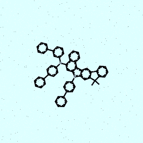 CC1(C)c2ccccc2-c2cc3c4c5ccccc5c(N(c5ccc(-c6ccccc6)cc5)c5cccc(-c6ccccc6)c5)cc4n(-c4ccc(-c5ccccc5)cc4)c3cc21